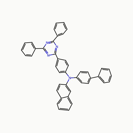 c1ccc(-c2ccc(N(c3ccc(-c4nc(-c5ccccc5)nc(-c5ccccc5)n4)cc3)c3ccc4ccccc4c3)cc2)cc1